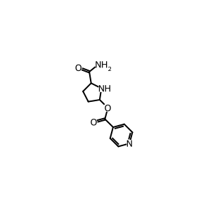 NC(=O)C1CCC(OC(=O)c2ccncc2)N1